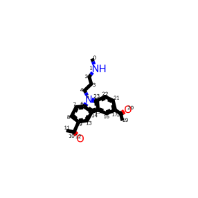 CNCCCn1c2ccc(C(C)=O)cc2c2cc(C(C)=O)ccc21